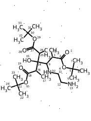 CC(C(=O)OC(C)(C)C)C(NCCN)C(O)(C(C)C(=O)OC(C)(C)C)C(C)C(=O)OC(C)(C)C